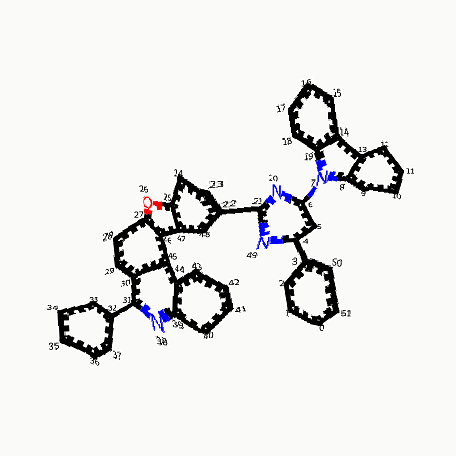 c1ccc(-c2cc(-n3c4ccccc4c4ccccc43)nc(-c3ccc4oc5ccc6c(-c7ccccc7)nc7ccccc7c6c5c4c3)n2)cc1